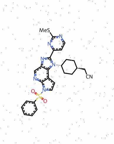 CSc1nccc(-c2nc3cnc4c(ccn4S(=O)(=O)c4ccccc4)c3n2[C@H]2CC[C@H](CC#N)CC2)n1